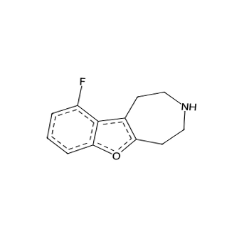 Fc1cccc2oc3c(c12)CCNCC3